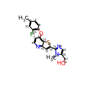 Cc1ccc(Oc2ccnc3cc(-c4ncc(CO)n4C)sc23)c(F)c1